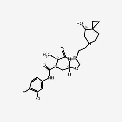 C[C@H]1C(=O)N2[C@@H](CCN3CCC4(CC4)[C@H](O)C3)CO[C@@H]2CN1C(=O)Nc1ccc(F)c(Cl)c1